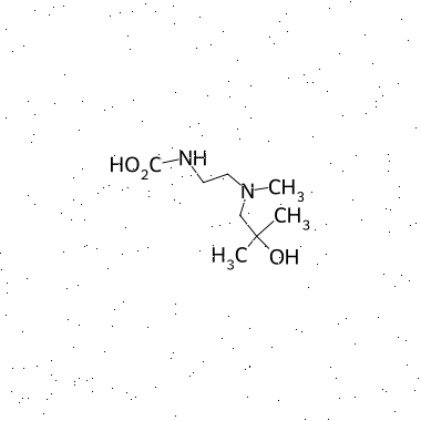 CN(CCNC(=O)O)CC(C)(C)O